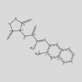 CC(=Cc1cc2ccccc2cc1N)C(=O)ON1C(=O)CCC1=O